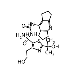 CC(C)(O)c1nc(CCO)c([SH](N)(=O)NC(=O)Nc2c3c(nc4c2CCC4)CCC3)s1